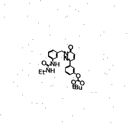 CCNC(=O)Nc1cccc(Cn2nc(-c3cccc(OC(=O)OC(C)(C)C)c3)ccc2=O)c1